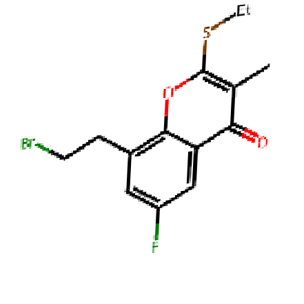 CCSc1oc2c(CCBr)cc(F)cc2c(=O)c1C